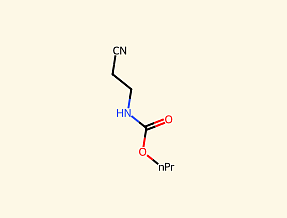 CCCOC(=O)NCCC#N